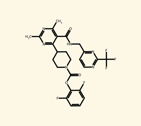 Cc1nc(C)c(C(=O)NCc2ccnc(C(F)(F)F)n2)c(C2CCN(C(=O)Oc3c(F)cccc3F)CC2)n1